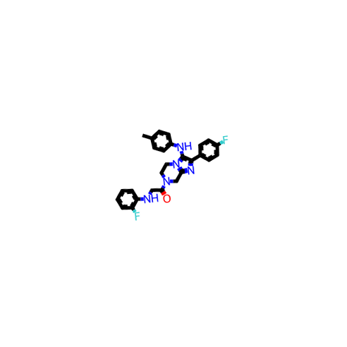 Cc1ccc(Nc2c(-c3ccc(F)cc3)nc3n2CCN(C(=O)CNc2ccccc2F)C3)cc1